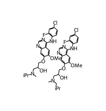 COc1cc2c(Nc3ccc(Cl)cc3F)ncnc2cc1OCC(O)CN(C)C(C)C.COc1cc2c(Nc3ccc(Cl)cc3F)ncnc2cc1OCC(O)CN(C)CC(C)C